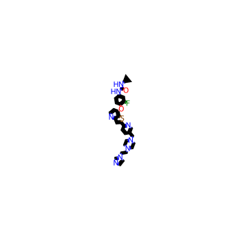 O=C(Nc1ccc(Oc2ccnc3cc(-c4ccc(CN5CCN(CCn6ccnc6)CC5)cn4)sc23)c(F)c1)NC1CC1